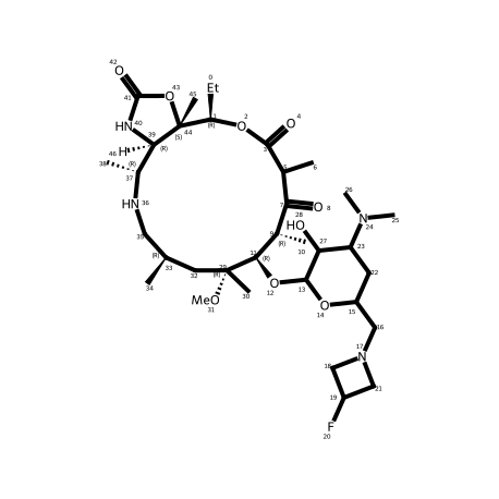 CC[C@H]1OC(=O)C(C)C(=O)[C@H](C)[C@@H](OC2OC(CN3CC(F)C3)CC(N(C)C)C2O)[C@](C)(OC)C[C@@H](C)CN[C@H](C)[C@H]2NC(=O)O[C@@]21C